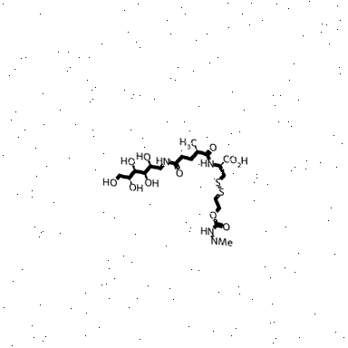 CNNC(=O)OCCSSC[C@H](NC(=O)[C@@H](C)CCC(=O)NC[C@H](O)[C@@H](O)[C@H](O)[C@H](O)CO)C(=O)O